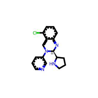 Clc1cccc2c1=CN(c1cccnc1)[C@H](C1CCCN1)N=2